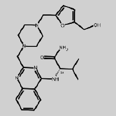 CC(C)[C@H](Nc1nc(CN2CCN(Cc3ccc(CO)o3)CC2)nc2ccccc12)C(N)=O